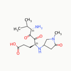 CC(C)[C@H](N)C(=O)C(=O)[C@H](CCC(=O)O)NC1CC(=O)N(C)C1